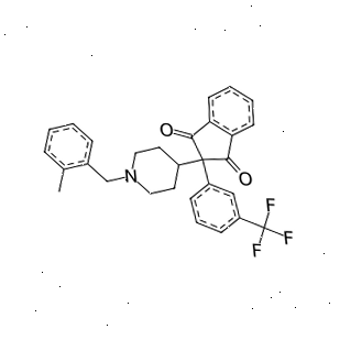 Cc1ccccc1CN1CCC(C2(c3cccc(C(F)(F)F)c3)C(=O)c3ccccc3C2=O)CC1